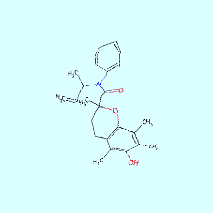 C=CC(C)N(C(=O)C1(C)CCc2c(C)c(O)c(C)c(C)c2O1)c1ccccc1